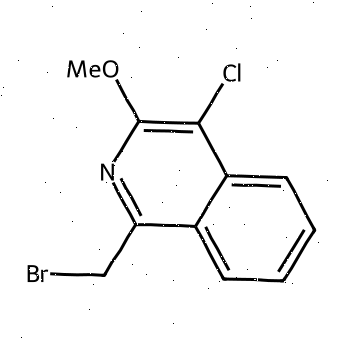 COc1nc(CBr)c2ccccc2c1Cl